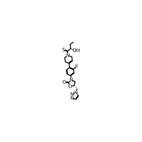 CC[C@@H](O)C(=S)N1CC=C(c2ccc(N3C[C@H](Cn4ccnn4)OC3=O)cc2F)CC1